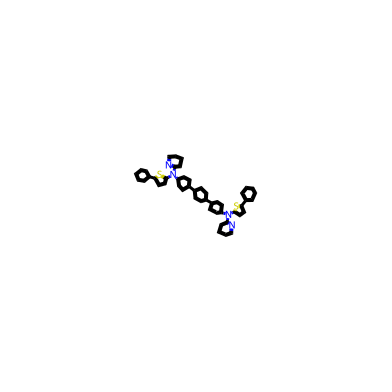 c1ccc(-c2ccc(N(c3ccc(-c4ccc(-c5ccc(N(c6ccccn6)c6ccc(-c7ccccc7)s6)cc5)cc4)cc3)c3ccccn3)s2)cc1